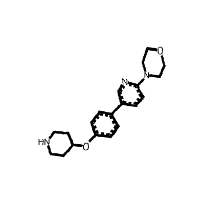 c1cc(-c2ccc(N3CCOCC3)nc2)ccc1OC1CCNCC1